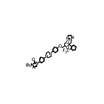 CCC(C)n1ncn(-c2ccc(N3CCN(c4ccc(OCC5COC(Cn6nccn6)(c6ccccc6C(F)(F)F)O5)cc4)CC3)cc2)c1=O